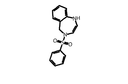 O=S(=O)(c1ccccc1)N1C=CNc2ccccc2C1